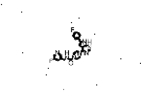 O=C(NCc1cncc(F)c1)N1CCN(c2ncnc3[nH]c(-c4ccc(F)cc4)cc23)CC1